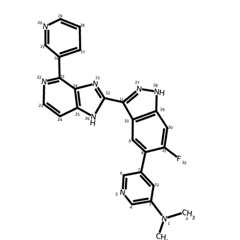 CN(C)c1cncc(-c2cc3c(-c4nc5c(-c6cccnc6)nccc5[nH]4)n[nH]c3cc2F)c1